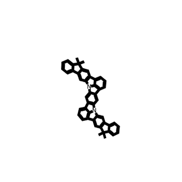 CC1(C)c2ccccc2-c2cc3c(cc21)c1cccc2c4cc5c(cc4n3c12)c1cccc2c3cc4c(cc3n5c21)-c1ccccc1C4(C)C